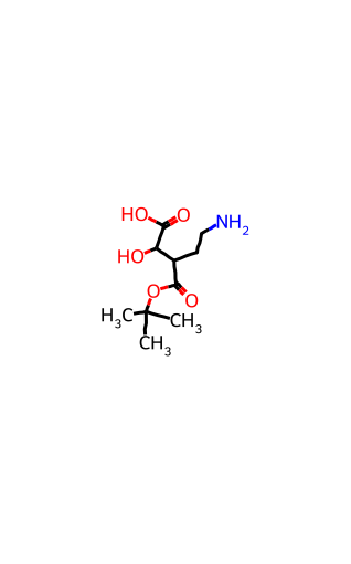 CC(C)(C)OC(=O)C(CCN)C(O)C(=O)O